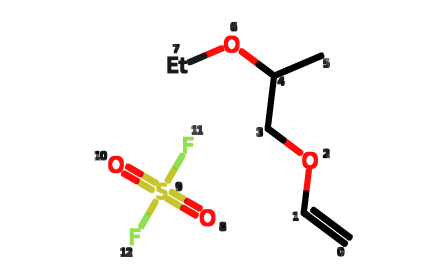 C=COCC(C)OCC.O=S(=O)(F)F